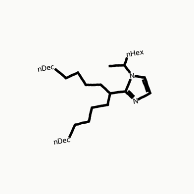 CCCCCCCCCCCCCCC(CCCCCCCCCCCCCC)c1nccn1C(C)CCCCCC